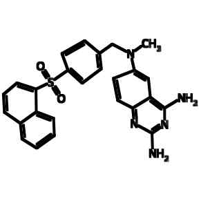 CN(Cc1ccc(S(=O)(=O)c2cccc3ccccc23)cc1)c1ccc2nc(N)nc(N)c2c1